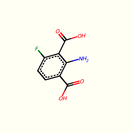 Nc1c(C(=O)O)ccc(F)c1C(=O)O